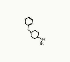 CCNN1CCN(Cc2ccccc2)CC1